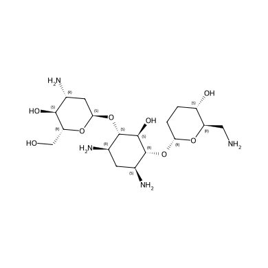 NC[C@H]1O[C@H](O[C@H]2[C@H](O)[C@@H](O[C@@H]3C[C@@H](N)[C@H](O)[C@@H](CO)O3)[C@H](N)C[C@@H]2N)CC[C@@H]1O